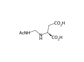 CC(=O)NCN[C@@H](CC(=O)O)C(=O)O